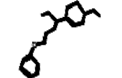 CCC1CC=C(C(CC)CCCOc2ccccc2)CC1